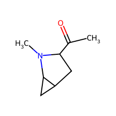 CC(=O)C1CC2CC2N1C